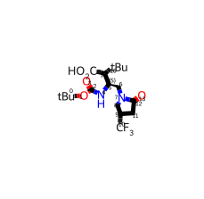 CC(C)(C)OC(=O)N[C@H](CN1CC(C(F)(F)F)CC1=O)C(C(=O)O)C(C)(C)C